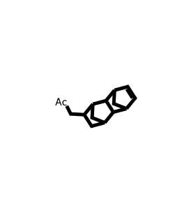 CC(=O)CC1CC2CC1C1C3C=CC(C3)C21